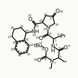 CC(C)C(NC(=O)C(C)N(C)C(=O)OC(C)(C)C)C(=O)N1CC(=O)CC1C(=O)NC1CCCc2ccccc21